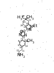 CCn1nc(-c2nc(-c3ccc(CCN)cc3C)no2)c2c1CC(C)(C)CC2